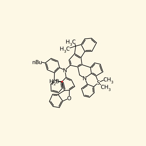 Bc1c(N(c2ccc(CCCC)cc2-c2ccccc2)c2cc3c(c4c2CN2c5ccccc5S(C)(C)c5cccc-4c52)-c2ccccc2C3(C)C)ccc2oc3ccccc3c12